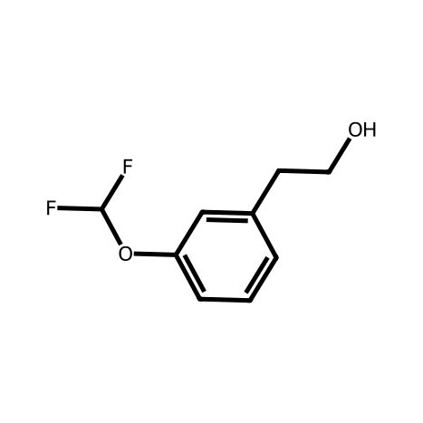 OCCc1cccc(OC(F)F)c1